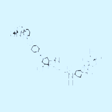 CC(C)(c1ccc(OCc2ccnc(NS(C)(=O)=O)n2)cc1)c1cc(Cl)c(OCCCCC(=O)Nc2ccc3c(c2)CN(C2CCC(=O)NC2=O)C3=O)c(C#N)c1